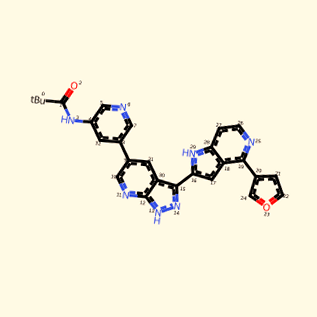 CC(C)(C)C(=O)Nc1cncc(-c2cnc3[nH]nc(-c4cc5c(-c6ccoc6)nccc5[nH]4)c3c2)c1